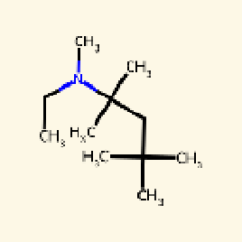 CCN(C)C(C)(C)CC(C)(C)C